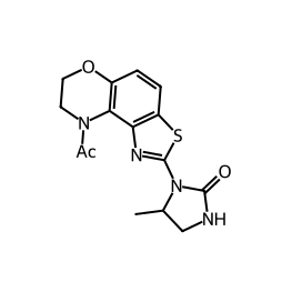 CC(=O)N1CCOc2ccc3sc(N4C(=O)NCC4C)nc3c21